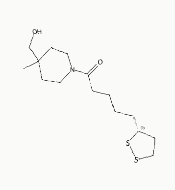 CC1(CO)CCN(C(=O)CCCC[C@@H]2CCSS2)CC1